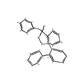 [CH2]C(CCCc1ccccc1-c1ccccc1)(c1ccccc1)c1ccccc1